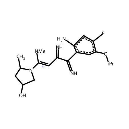 CN/C(=C\C(=N)C(=N)c1cc(OC(C)C)c(F)cc1N)N1CC(O)CC1C